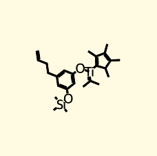 C=CCCc1cc([O][Ti]([C]2=C(C)C(C)=C(C)C2C)=[C](C)C)cc(O[Si](C)(C)C)c1